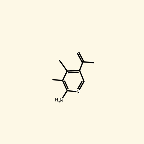 C=C(C)c1cnc(N)c(C)c1C